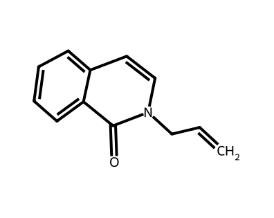 C=CCn1ccc2ccccc2c1=O